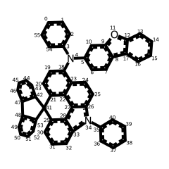 c1ccc(N(c2ccc3c(c2)oc2ccccc23)c2ccc3c4c2ccc2c4c4c(cccc4n2-c2ccccc2)C32c3ccccc3-c3ccccc32)cc1